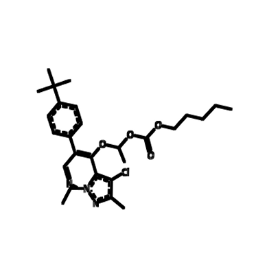 CCCCCOC(=O)OC(C)O/C(=C(/C=N\C)c1ccc(C(C)(C)C)cc1)c1c(Cl)c(C)nn1CC